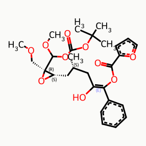 COC[C@@]1(C(OC)OC(=O)OC(C)(C)C)O[C@H]1C[C@H](C)C/C(O)=C(\OC(=O)c1ccco1)c1ccccc1